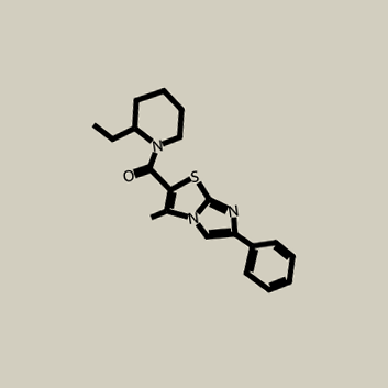 CCC1CCCCN1C(=O)c1sc2nc(-c3ccccc3)cn2c1C